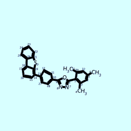 Cc1cc(C)c(-c2nnc(-c3ccc(-c4cccc5c4sc4ccccc45)cc3)o2)c(C)c1